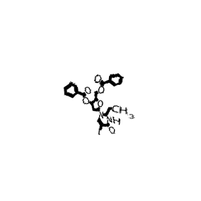 CC=C1NC(=O)C(I)=CN1C1CC(OC(=O)c2ccccc2)C(COC(=O)c2ccccc2)O1